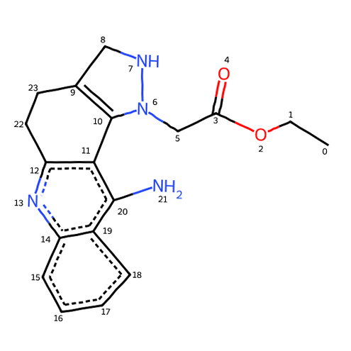 CCOC(=O)CN1NCC2=C1c1c(nc3ccccc3c1N)CC2